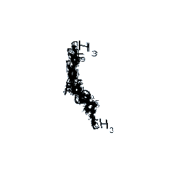 CCCCCC1CCC(C2COC(c3cc(F)c(C(F)(F)Oc4ccc(-c5cc(F)c(CCC)c(F)c5)c(F)c4)c(F)c3)OC2)CC1